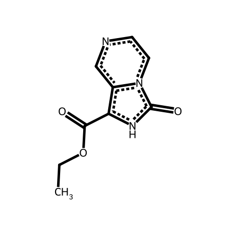 CCOC(=O)c1[nH]c(=O)n2ccncc12